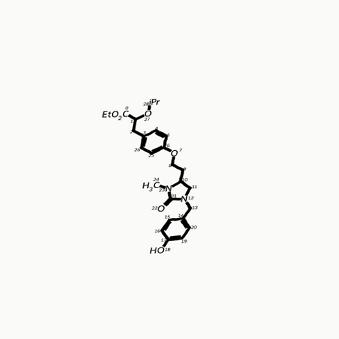 CCOC(=O)C(Cc1ccc(OCCC2CN(Cc3ccc(O)cc3)C(=O)N2C)cc1)OC(C)C